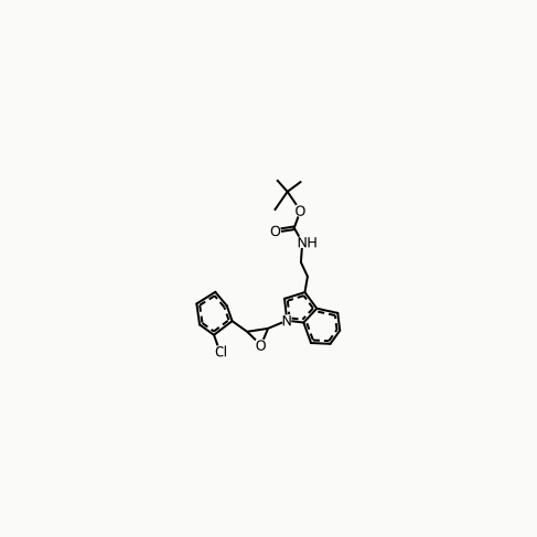 CC(C)(C)OC(=O)NCCc1cn(C2OC2c2ccccc2Cl)c2ccccc12